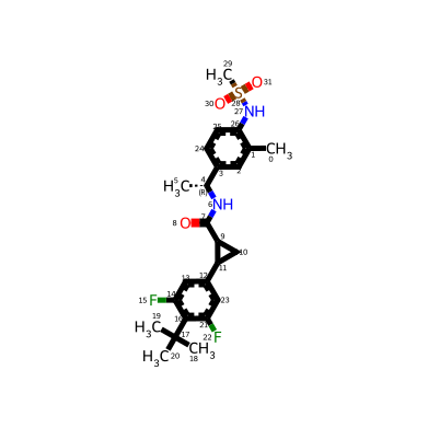 Cc1cc([C@@H](C)NC(=O)C2CC2c2cc(F)c(C(C)(C)C)c(F)c2)ccc1NS(C)(=O)=O